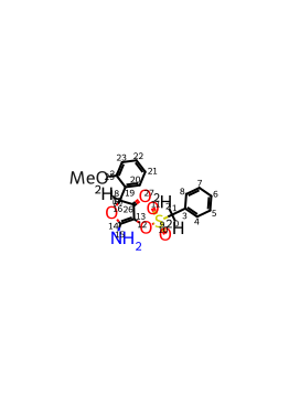 [2H]C([2H])(c1ccccc1)S(=O)(=O)OC1=C(N)O[C@]([2H])(c2ccccc2OC)C1=O